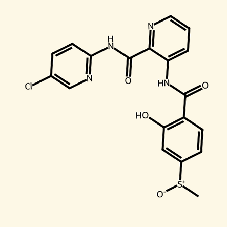 C[S+]([O-])c1ccc(C(=O)Nc2cccnc2C(=O)Nc2ccc(Cl)cn2)c(O)c1